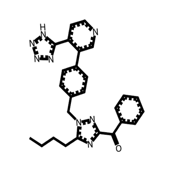 CCCCc1nc(C(=O)c2ccccc2)nn1Cc1ccc(-c2cnccc2-c2nnn[nH]2)cc1